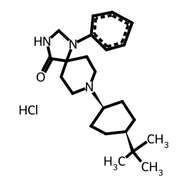 CC(C)(C)[C@H]1CC[C@@H](N2CCC3(CC2)C(=O)NCN3c2ccccc2)CC1.Cl